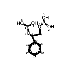 OP(O)OCC(OP(O)O)c1ccccc1